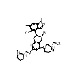 Cc1cc2[nH]ncc2c(C2Cc3nc(OC[C@@H]4CCCN4C)nc(N4CCN[C@@H](CC#N)C4)c3CN2Br)c1Cl